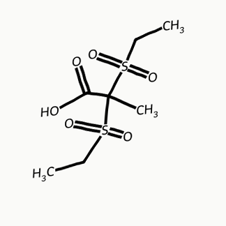 CCS(=O)(=O)C(C)(C(=O)O)S(=O)(=O)CC